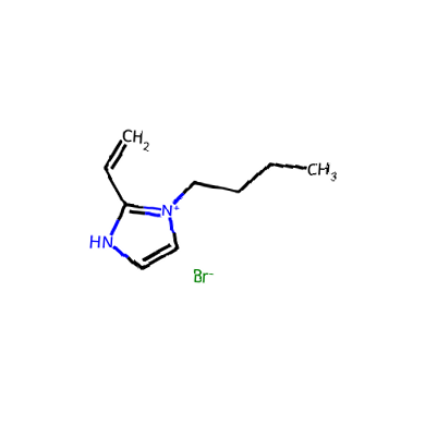 C=Cc1[nH]cc[n+]1CCCC.[Br-]